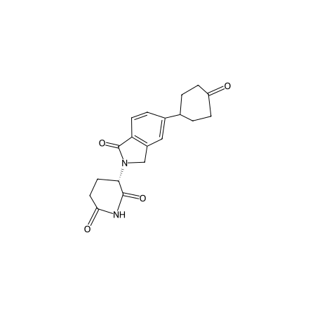 O=C1CCC(c2ccc3c(c2)CN([C@H]2CCC(=O)NC2=O)C3=O)CC1